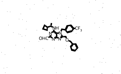 CC(Nc1nc(C=O)nc2nc(COCc3ccccc3)n(Cc3ccc(C(F)(F)F)cc3)c12)C1CCC1